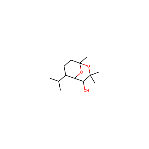 CC(C)C1CCC2(C)OC1C(O)C(C)(C)O2